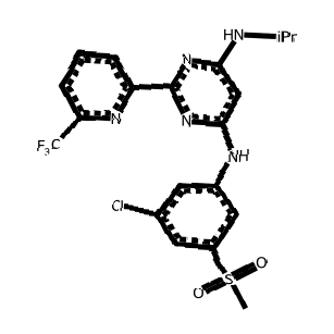 CC(C)Nc1cc(Nc2cc(Cl)cc(S(C)(=O)=O)c2)nc(-c2cccc(C(F)(F)F)n2)n1